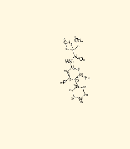 CCC(CC)C(=O)Nc1cc(F)c(N2CC[N]CC2)c(F)c1